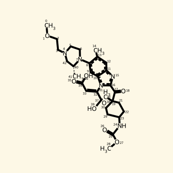 COCCN1CCN(c2cc3c(cc2C)nc(C(=O)C2(C)CCC(NC(=O)OC)CC2)n3/C(=C\C(=O)O)C(=O)O)[C@H](C)C1